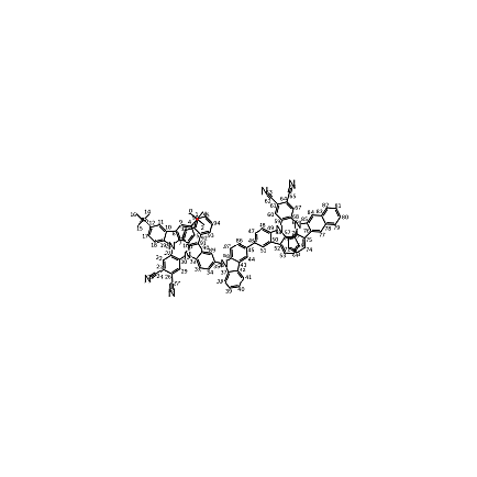 CC(C)(C)c1ccc2c(c1)c1cc(C(C)(C)C)ccc1n2-c1cc(C#N)c(C#N)cc1-n1c2ccc(-n3c4ccccc4c4cc(-c5ccc6c(c5)c5ccccc5n6-c5cc(C#N)c(C#N)cc5-n5c6ccccc6c6cc7ccccc7cc65)ccc43)cc2c2c3ccccc3ccc21